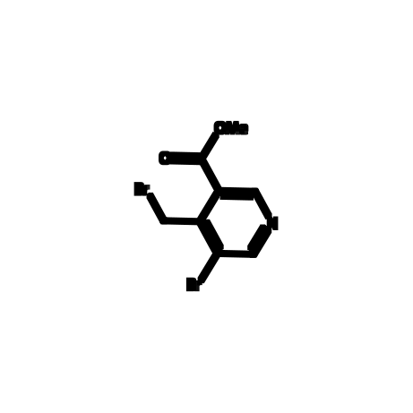 COC(=O)c1cncc(Br)c1CBr